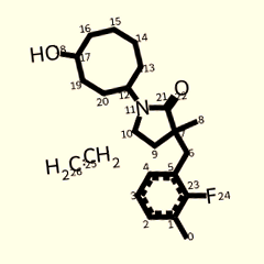 Cc1cccc(CC2(C)CCN(C3[CH]CCCC(O)CC3)C2=O)c1F.[CH2].[CH2]